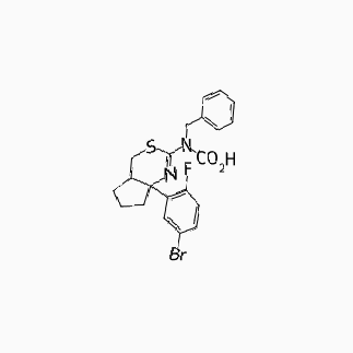 O=C(O)N(Cc1ccccc1)C1=NC2(c3cc(Br)ccc3F)CCCC2CS1